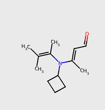 CC(C)=C(C)N(/C(C)=C/C=O)C1CCC1